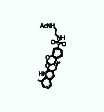 CC(=O)NCCNS(=O)(=O)c1ccc2c(c1)OCC[N+]2(C)Cc1cc2cccc(C)c2[nH]c1=O